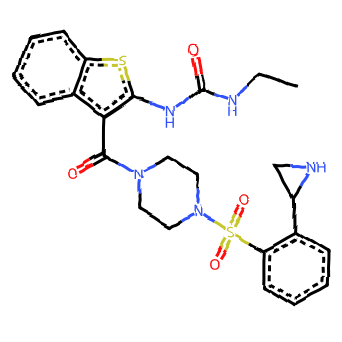 CCNC(=O)Nc1sc2ccccc2c1C(=O)N1CCN(S(=O)(=O)c2ccccc2C2CN2)CC1